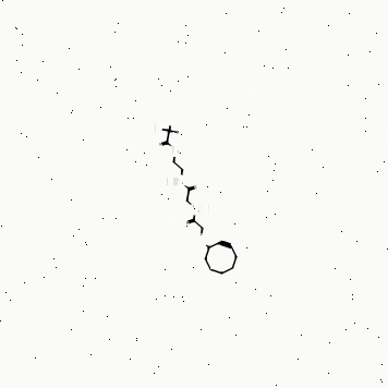 O=C(CNC(=O)COC1C#CCCCCC1)NCCNC(=O)C(F)(F)F